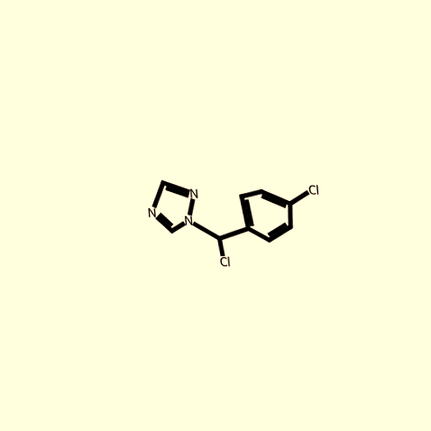 Clc1ccc(C(Cl)n2cncn2)cc1